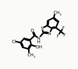 Cc1cc(C(F)(F)F)c2nc(NC(=O)c3cc(Cl)cc(C)c3O)sc2c1